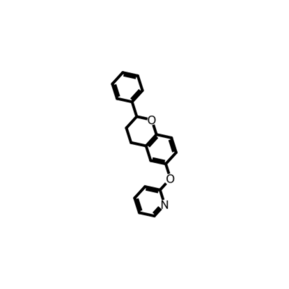 c1ccc(C2CCc3cc(Oc4ccccn4)ccc3O2)cc1